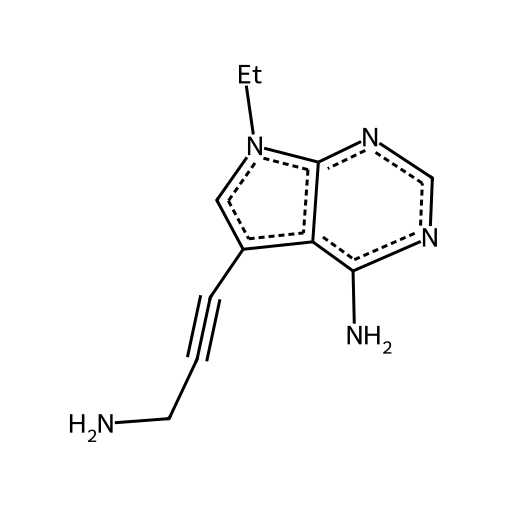 CCn1cc(C#CCN)c2c(N)ncnc21